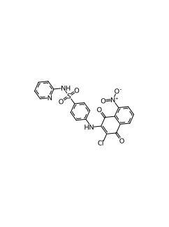 O=C1C(Cl)=C(Nc2ccc(S(=O)(=O)Nc3ccccn3)cc2)C(=O)c2c1cccc2[N+](=O)[O-]